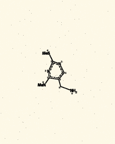 CNc1nc(SC)ncc1CN